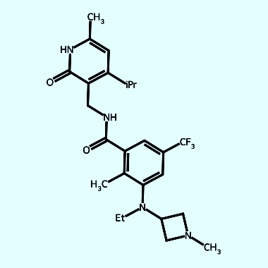 CCN(c1cc(C(F)(F)F)cc(C(=O)NCc2c(C(C)C)cc(C)[nH]c2=O)c1C)C1CN(C)C1